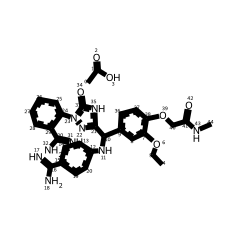 CC(=O)O.CCOc1cc(C(Nc2ccc(C(=N)N)cc2)c2nn(-c3ccccc3C(=N)N)c(=O)[nH]2)ccc1OCC(=O)NC